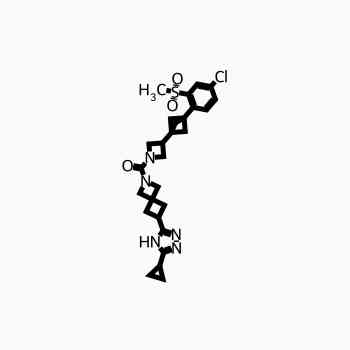 CS(=O)(=O)c1cc(Cl)ccc1C12CC(C3CN(C(=O)N4CC5(CC(c6nnc(C7CC7)[nH]6)C5)C4)C3)(C1)C2